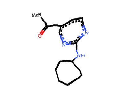 CNC(=O)c1ccnc(NC2CCCCC2)n1